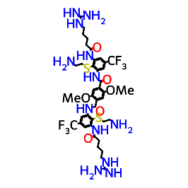 COc1cc(C(=O)Nc2cc(C(F)(F)F)cc(NC(=O)CCCCNC(=N)N)c2SCCN)c(OC)cc1C(=O)Nc1cc(C(F)(F)F)cc(NC(=O)CCCCNC(=N)N)c1SCCN